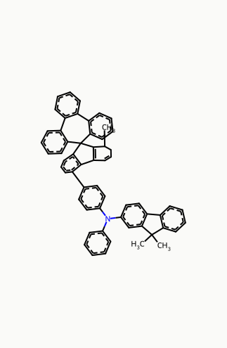 CC1CC=CC2=C1C1(c3ccccc3-c3ccccc3-c3ccccc31)c1cccc(-c3ccc(N(c4ccccc4)c4ccc5c(c4)C(C)(C)c4ccccc4-5)cc3)c12